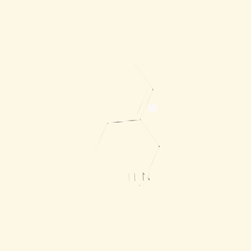 C/C=C(\CC)CN